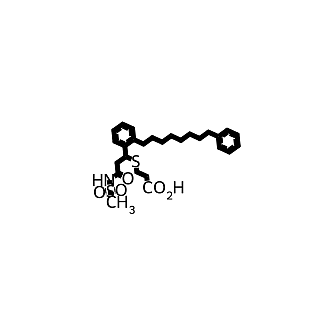 CS(=O)(=O)NC(=O)CC(SCCC(=O)O)c1ccccc1CCCCCCCCc1ccccc1